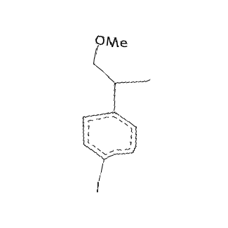 COCC(C)c1ccc(I)cc1